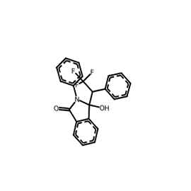 O=C1c2ccccc2C(O)(C(c2ccccc2)C(F)(F)F)N1c1ccccc1